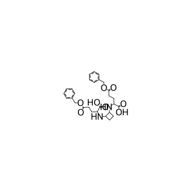 O=C(CCC(NC1CCC1NC(CCC(=O)OCc1ccccc1)C(=O)O)C(=O)O)OCc1ccccc1